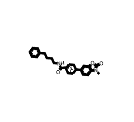 Cn1c(=O)oc2cc(C3CC4CCC3CN4C(=O)NCCCCc3ccccc3)ccc21